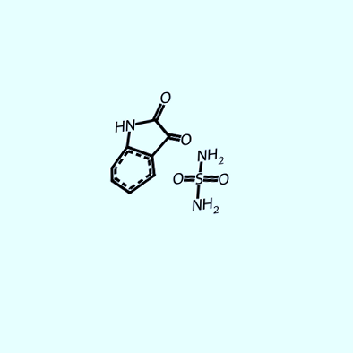 NS(N)(=O)=O.O=C1Nc2ccccc2C1=O